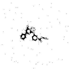 Cn1c(NC2CCCN(C(=O)OC(C)(C)C)C2)nc(-c2ccncc2)cc1=O